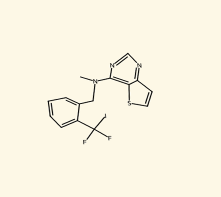 CN(Cc1ccccc1C(F)(F)I)c1ncnc2ccsc12